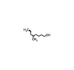 C=CCN(C)CCCCO